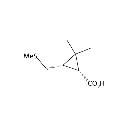 CSC[C@H]1[C@@H](C(=O)O)C1(C)C